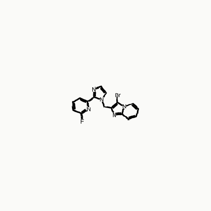 Fc1cccc(-c2nccn2Cc2nc3ccccn3c2Br)n1